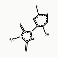 CCc1ccc(O)c(-n2[nH]c(=O)n(C)c2=O)c1